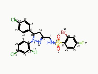 O=S(=O)(NCC1=NN(c2ccc(Cl)cc2Cl)C(c2ccc(Cl)cc2)C1)c1ccc(F)cc1Br